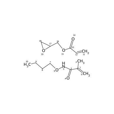 C=C(C)C(=O)NOCCCC.C=CC(=O)OCC1CO1